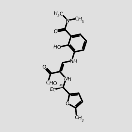 CC[C@@H](NC(=CNc1cccc(C(=O)N(C)C)c1O)C(=O)C=O)c1ccc(C)o1